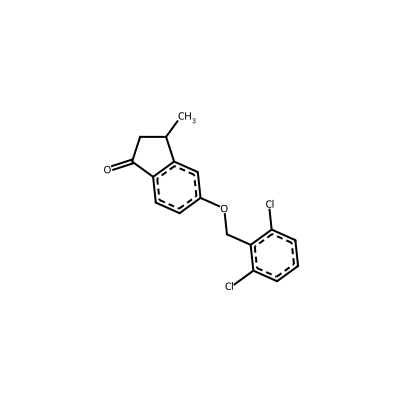 CC1CC(=O)c2ccc(OCc3c(Cl)cccc3Cl)cc21